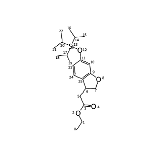 CCOC(=O)CC1COc2cc(O[Si](C(C)C)(C(C)C)C(C)C)ccc21